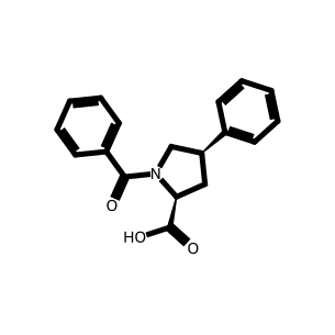 O=C(O)[C@@H]1C[C@H](c2ccccc2)CN1C(=O)c1ccccc1